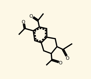 CC(=O)c1cc2c(cc1C(C)=O)CC(C(C)=O)C(C(C)=O)C2